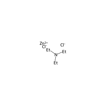 CCN(CC)CC.[Cl-].[Cl-].[Zn+2]